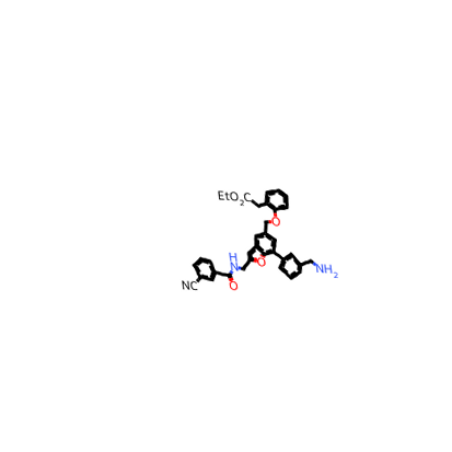 CCOC(=O)Cc1ccccc1OCc1cc(-c2cccc(CN)c2)c2oc(CNC(=O)c3cccc(C#N)c3)cc2c1